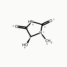 CN1C(=O)NC(=O)[C@@H]1O